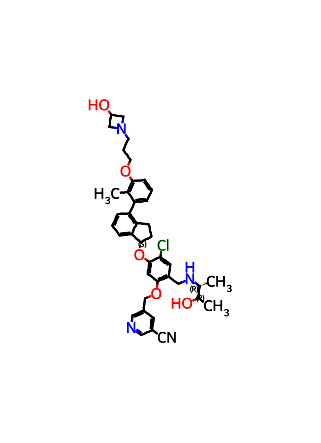 Cc1c(OCCCN2CC(O)C2)cccc1-c1cccc2c1CC[C@@H]2Oc1cc(OCc2cncc(C#N)c2)c(CN[C@H](C)[C@@H](C)O)cc1Cl